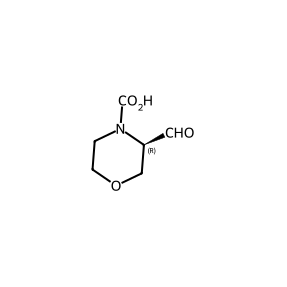 O=C[C@H]1COCCN1C(=O)O